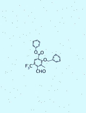 Cc1c(C=O)c(C(F)(F)F)cc(C(=O)Oc2ccccc2)c1OCc1ccccc1